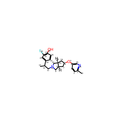 Cc1ccc(O[C@H]2C[C@@H]3CN(CC(C)c4ccc(O)c(F)c4)C[C@@H]3C2)cn1